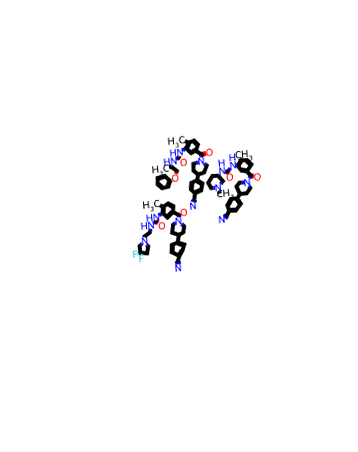 Cc1ccc(C(=O)N2CCC(c3ccc(C#N)cc3)CC2)cc1NC(=O)NC(C)COc1ccccc1.Cc1ccc(C(=O)N2CCC(c3ccc(C#N)cc3)CC2)cc1NC(=O)NC1CCCN(C)C1.Cc1ccc(C(=O)N2CCC(c3ccc(C#N)cc3)CC2)cc1NC(=O)NCCN1CCC(F)(F)C1